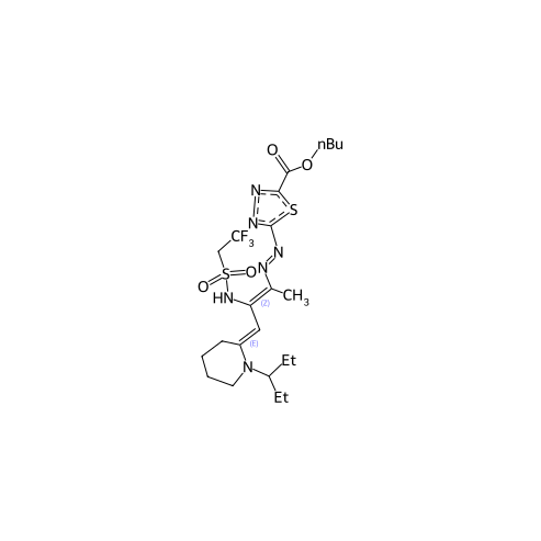 CCCCOC(=O)c1nnc(N=N/C(C)=C(/C=C2\CCCCN2C(CC)CC)NS(=O)(=O)CC(F)(F)F)s1